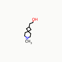 CN1CCC2(CC1)CC(CCO)C2